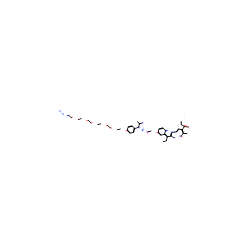 CCc1c2c(nc3ccc(OCC(=O)N/N=C(/c4ccc(OCCOCCOCCOCCOCCOCCN=[N+]=[N-])cc4)C(C)C)cc13)-c1cc3c(c(=O)n1C2)COC(=O)[C@]3(O)CC